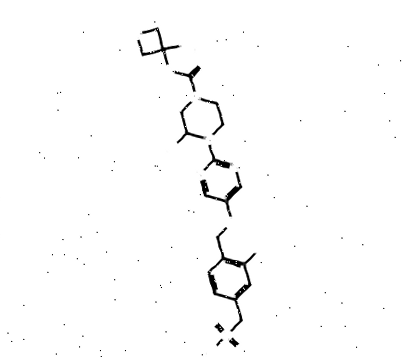 CC1CN(C(=O)OC2(C(F)(F)F)COC2)CCN1c1ncc(OCc2ccc(CS(C)(=O)=O)cc2F)cn1